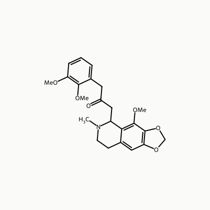 COc1cccc(CC(=O)CC2c3c(cc4c(c3OC)OCO4)CCN2C)c1OC